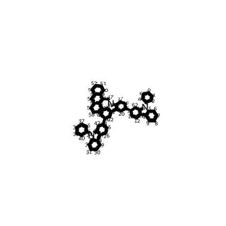 c1ccc(-n2c3ccccc3c3ccc(-c4ccc5c(c4)c4cc(-c6ccc7c8ccccc8n(-c8ccccc8)c7c6)ccc4n5Cc4c5ccccc5cc5ccccc45)cc32)cc1